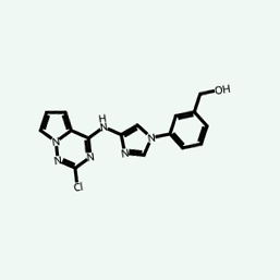 OCc1cccc(-n2cnc(Nc3nc(Cl)nn4cccc34)c2)c1